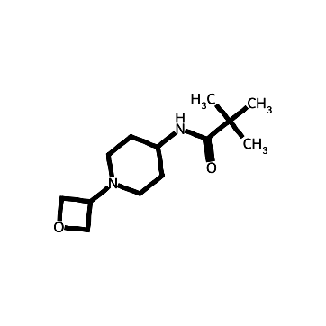 CC(C)(C)C(=O)NC1CCN(C2COC2)CC1